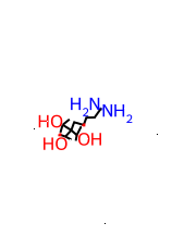 CC(C)(O)C(CCCCC(N)N)(C(C)(C)O)C(C)(C)O